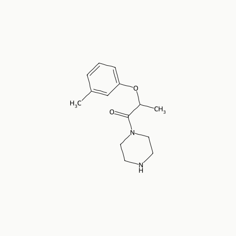 Cc1cccc(OC(C)C(=O)N2CCNCC2)c1